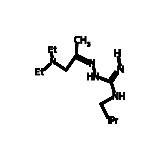 [H]/N=C(/NCC(C)C)NN=C(C)CN(CC)CC